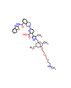 CNCCOCCOCCOC12CC(C)CC(Cn3ncc(-c4ccc(N5CCc6cccc(C(=O)Nc7nc8ccccc8s7)c6C5)nc4C(=O)O)c3C)(CC(C)C1)C2